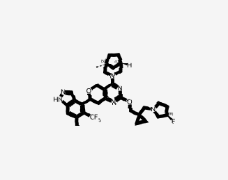 Cc1cc2[nH]ncc2c(C2Cc3nc(OCC4(CN5CC[C@@H](F)C5)CC4)nc(N4C[C@H]5CC[C@@](C)(C5)C4)c3CO2)c1C(F)(F)F